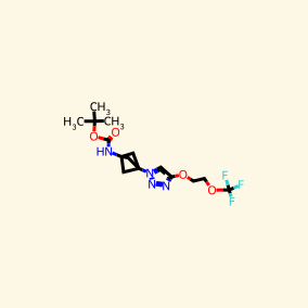 CC(C)(C)OC(=O)NC12CC(n3cc(OCCOC(F)(F)F)nn3)(C1)C2